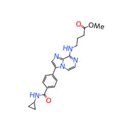 COC(=O)CCCNc1nccn2c(-c3ccc(C(=O)NC4CC4)cc3)cnc12